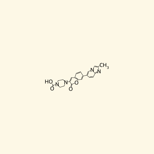 Cc1cn2cc(-c3ccc4cc(N5CCN(C(=O)O)CC5)c(=O)oc4c3)ccc2n1